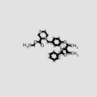 CCOC(=O)C1CSCCN1Cc1ccc(OC(C)c2nc(-c3ccccc3)oc2C)cc1